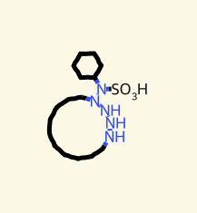 O=S(=O)(O)N(C1CCCCC1)N1CCCCCCCCCCNNN1